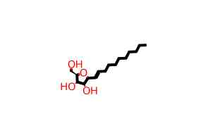 CCCCCCCCC/C=C/C1O[C@H](CO)[C@@H](O)[C@@H]1O